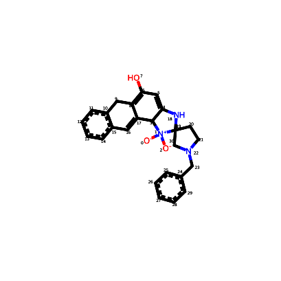 [O-][N+]1([O-])C2C(=CC(O)=C3Cc4ccccc4C=C32)NC12CCN(Cc1ccccc1)C2